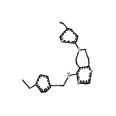 CCc1ccc(CNc2ncnc3c2CN(c2ccc(C)cn2)CC3)cc1